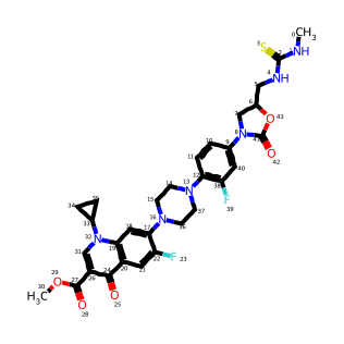 CNC(=S)NCC1CN(c2ccc(N3CCN(c4cc5c(cc4F)c(=O)c(C(=O)OC)cn5C4CC4)CC3)c(F)c2)C(=O)O1